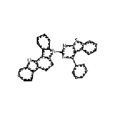 c1ccc(-c2nc(-n3c4ccccc4c4c5oc6ccccc6c5ccc43)nc3sc4ccccc4c23)cc1